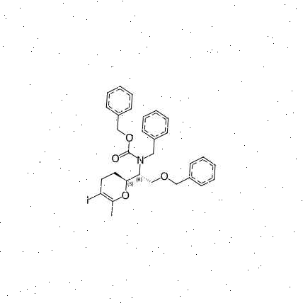 CC1=C(I)CC[C@@H]([C@@H](COCc2ccccc2)N(Cc2ccccc2)C(=O)OCc2ccccc2)O1